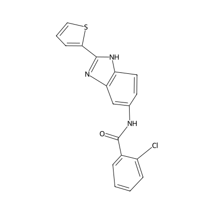 O=C(Nc1ccc2[nH]c(-c3cccs3)nc2c1)c1ccccc1Cl